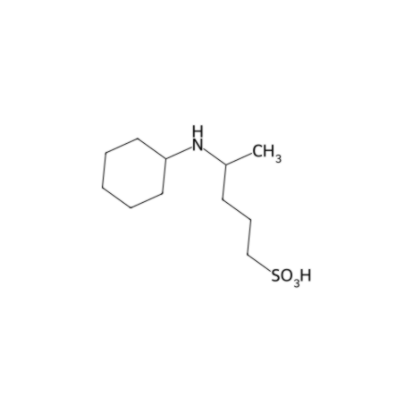 CC(CCCS(=O)(=O)O)NC1CCCCC1